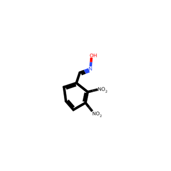 O=[N+]([O-])c1cccc(C=NO)c1[N+](=O)[O-]